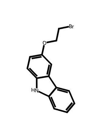 BrCCOc1ccc2[nH]c3ccccc3c2c1